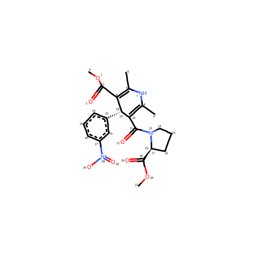 COC(=O)C1=C(C)NC(C)=C(C(=O)N2CCC[C@H]2C(=O)OC)[C@@H]1c1cccc([N+](=O)[O-])c1